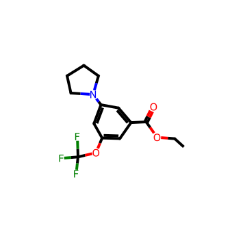 CCOC(=O)c1cc(OC(F)(F)F)cc(N2CCCC2)c1